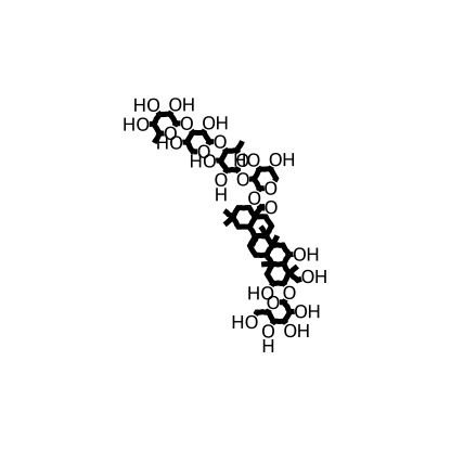 CC1OC(OC2C(O)COC(OC3C(C)OC(OC4C(OC(=O)C56CCC(C)(C)CC5C5=CCC7C8(C)CC(O)C(OC9OC(CO)C(O)C(O)C9O)C(C)(CO)C8C(O)CC7(C)C5(C)CC6)OCC(O)C4O)C(O)C3O)C2O)C(O)C(O)C1O